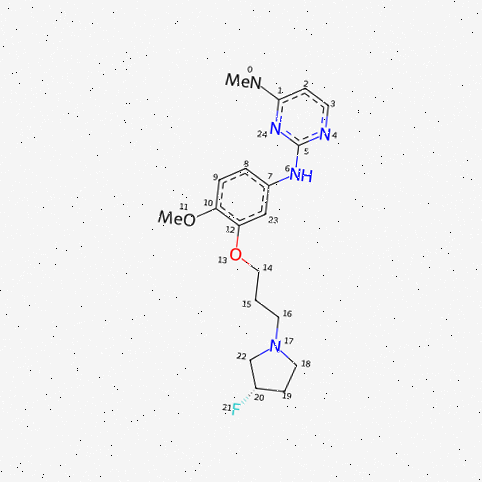 CNc1ccnc(Nc2ccc(OC)c(OCCCN3CC[C@H](F)C3)c2)n1